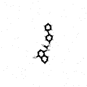 O=C(Nc1ccc(O)c2ccccc12)Oc1ccc(-c2ccccc2)cc1